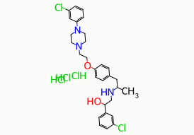 CC(Cc1ccc(OCCN2CCN(c3cccc(Cl)c3)CC2)cc1)NCC(O)c1cccc(Cl)c1.Cl.Cl.Cl